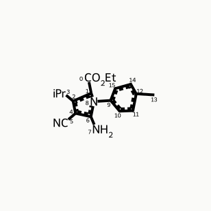 CCOC(=O)c1c(C(C)C)c(C#N)c(N)n1-c1ccc(C)cc1